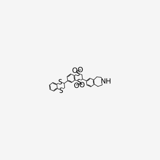 O=S1(=O)CC(c2ccc3c(c2)CCNCC3)S(=O)(=O)c2cc(C3CSc4ccccc4S3)ccc21